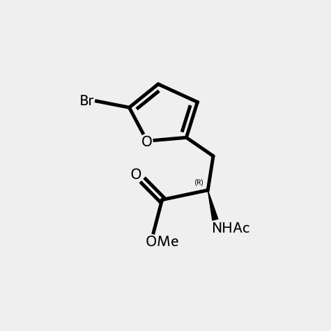 COC(=O)[C@@H](Cc1ccc(Br)o1)NC(C)=O